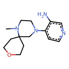 CN1CCN(c2ccncc2N)CC12CCOCC2